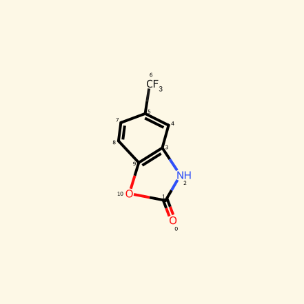 O=c1[nH]c2cc(C(F)(F)F)ccc2o1